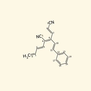 C=CC=CC(C#N)=C(C=CC#N)C=Cc1ccccc1